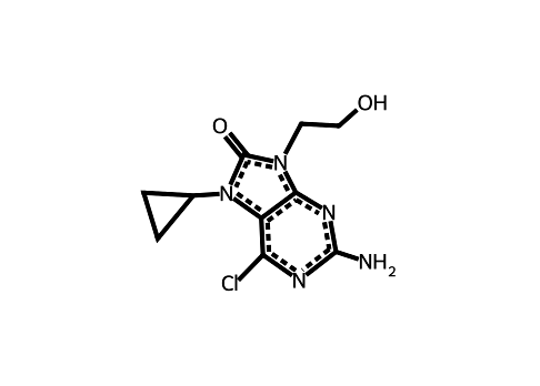 Nc1nc(Cl)c2c(n1)n(CCO)c(=O)n2C1CC1